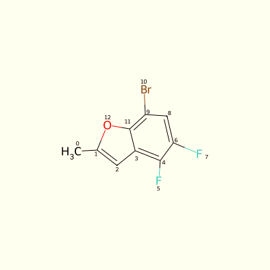 Cc1cc2c(F)c(F)cc(Br)c2o1